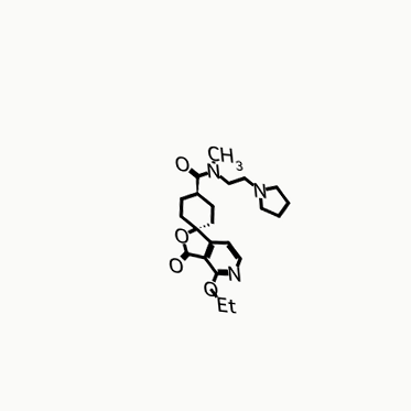 CCOc1nccc2c1C(=O)O[C@]21CC[C@H](C(=O)N(C)CCN2CCCC2)CC1